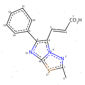 Cc1nn2c(C=CC(=O)O)c(-c3ccccc3)nc2s1